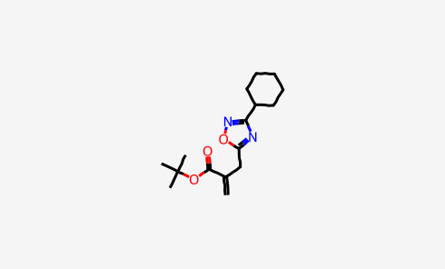 C=C(Cc1nc(C2CCCCC2)no1)C(=O)OC(C)(C)C